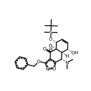 CN(C)[C@@H]1c2onc(OCc3ccccc3)c2C(=O)[C@]2(O)[C@H]1[C@@H](O)C=C[C@H]2O[Si](C)(C)C(C)(C)C